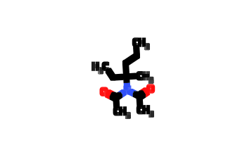 CCCC(C)(CC)N(C(C)=O)C(C)=O